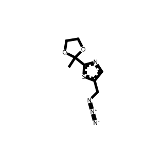 CC1(c2ncc(CN=[N+]=[N-])s2)OCCO1